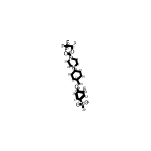 C[C@H](OC(=O)N1CCN(C2CCC(COc3ccc(S(C)(=O)=O)cc3F)CC2)CC1)C(F)(F)F